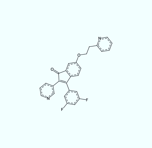 O=C1C(c2cccnc2)=C(c2cc(F)cc(F)c2)c2ccc(OCCc3ccccn3)cc21